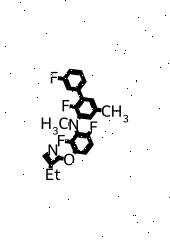 CCC1=CN=C1Oc1ccc(F)c(N(C)c2cc(C)cc(-c3cccc(F)c3)c2F)c1F